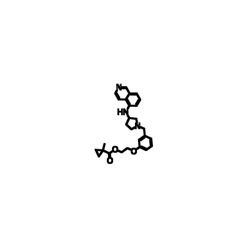 CC1(C(=O)OCCOc2cccc(CN3CCC(Nc4cccc5cnccc45)C3)c2)CC1